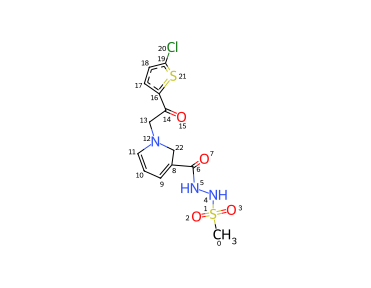 CS(=O)(=O)NNC(=O)C1=CC=CN(CC(=O)c2ccc(Cl)s2)C1